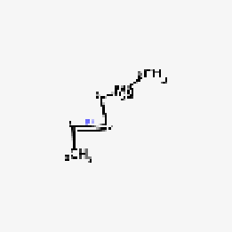 C/C=C/[CH2][Mg][CH3]